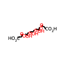 O=C(O)CCC(=O)OCC(O)COCC(O)COCC(O)COC(=O)CCC(=O)O